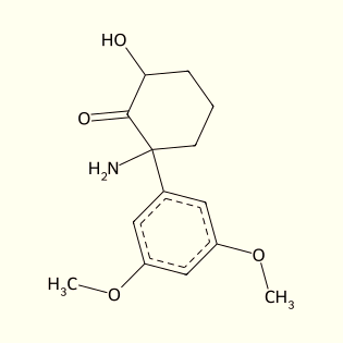 COc1cc(OC)cc(C2(N)CCCC(O)C2=O)c1